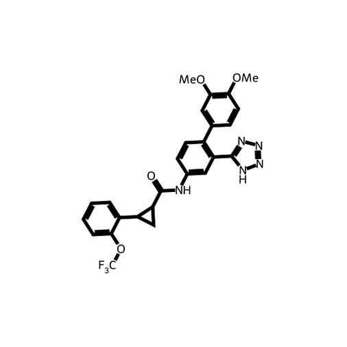 COc1ccc(-c2ccc(NC(=O)C3CC3c3ccccc3OC(F)(F)F)cc2-c2nnn[nH]2)cc1OC